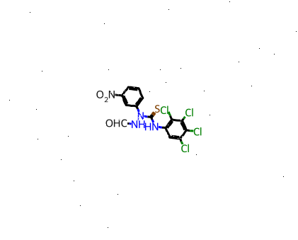 O=CNN(C(=S)Nc1cc(Cl)c(Cl)c(Cl)c1Cl)c1cccc([N+](=O)[O-])c1